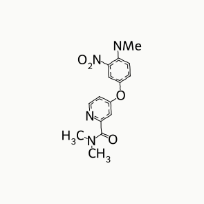 CNc1ccc(Oc2ccnc(C(=O)N(C)C)c2)cc1[N+](=O)[O-]